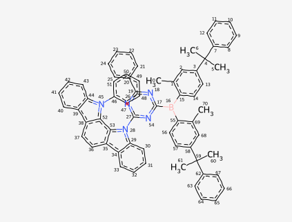 Cc1cc(C(C)(C)c2ccccc2)ccc1B(c1nc(-c2ccccc2)nc(-n2c3ccccc3c3ccc4c5ccccc5n(-c5ccccc5)c4c32)n1)c1ccc(C(C)(C)c2ccccc2)cc1C